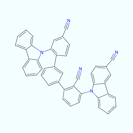 N#Cc1ccc(-c2cccc(-c3cccc(-n4c5ccccc5c5cc(C#N)ccc54)c3C#N)c2)c(-n2c3ccccc3c3ccccc32)c1